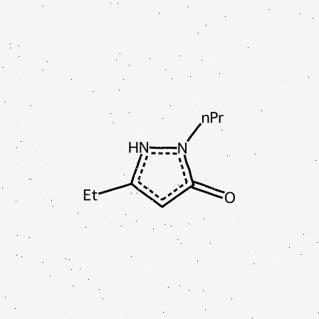 CCCn1[nH]c(CC)cc1=O